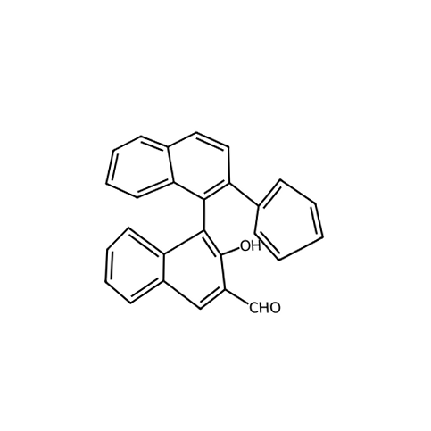 O=Cc1cc2ccccc2c(-c2c(-c3ccccc3)ccc3ccccc23)c1O